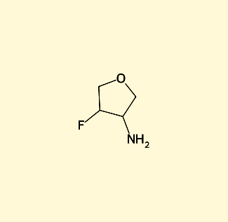 NC1COCC1F